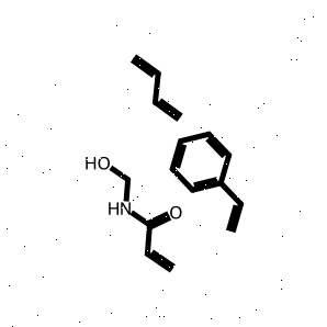 C=CC(=O)NCO.C=CC=C.C=Cc1ccccc1